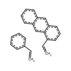 C=Cc1cccc2cc3ccccc3cc12.C=Cc1ccccc1